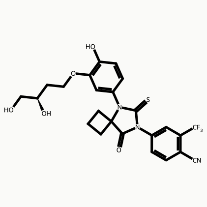 N#Cc1ccc(N2C(=O)C3(CCC3)N(c3ccc(O)c(OCC[C@@H](O)CO)c3)C2=S)cc1C(F)(F)F